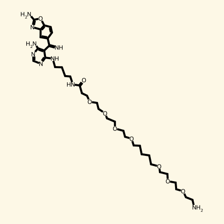 N=C(c1ccc2oc(N)nc2c1)c1c(N)ncnc1NCCCCNC(=O)CCOCCOCCOCCOCCCCCOCCOCCOCCN